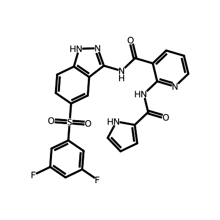 O=C(Nc1ncccc1C(=O)Nc1n[nH]c2ccc(S(=O)(=O)c3cc(F)cc(F)c3)cc12)c1ccc[nH]1